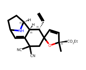 C=C[C@H]1[C@H]2C(=CC3CC[C@@H]2N3)C(C#N)(C#N)CC12C=C[C@@](C)(C(=O)OCC)O2